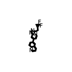 FC1(F)CC1Cc1nnc2cc(-c3ccc4ncccc4c3)ccn12